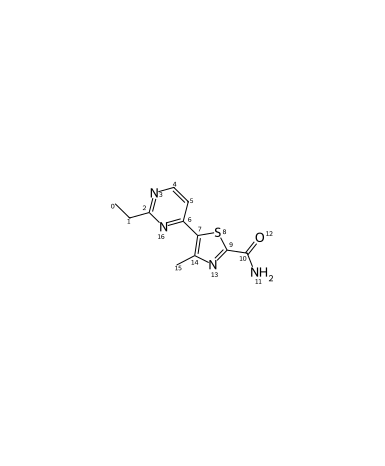 CCc1nccc(-c2sc(C(N)=O)nc2C)n1